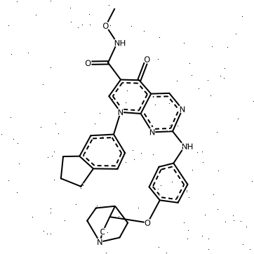 CONC(=O)c1cn(-c2ccc3c(c2)CCC3)c2nc(Nc3ccc(OC4CN5CCC4CC5)cc3)ncc2c1=O